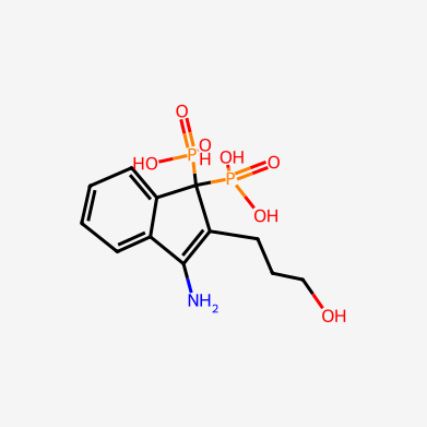 NC1=C(CCCO)C(P(=O)(O)O)(P(=O)(O)O)c2ccccc21